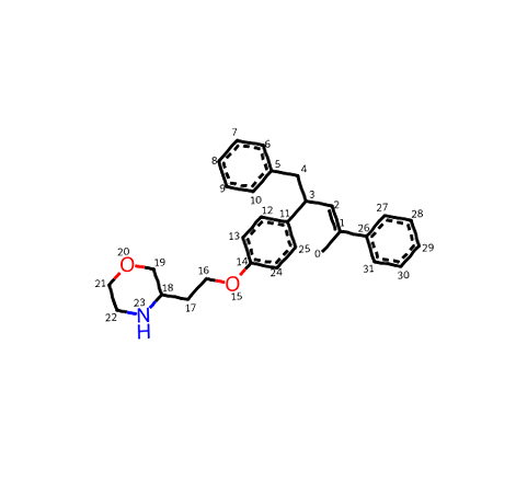 CC(=CC(Cc1ccccc1)c1ccc(OCCC2COCCN2)cc1)c1ccccc1